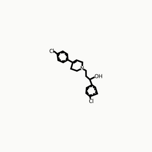 OC(CCN1CC=C(c2ccc(Cl)cc2)CC1)c1ccc(Cl)cc1